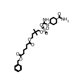 CC(C)(CCOC(=O)CCCCC(=O)OCc1ccccc1)COS(=O)(=O)ON(C(N)=O)[C@H]1CC[C@H](C(N)=O)CC1